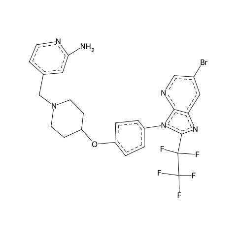 Nc1cc(CN2CCC(Oc3ccc(-n4c(C(F)(F)C(F)(F)F)nc5cc(Br)cnc54)cc3)CC2)ccn1